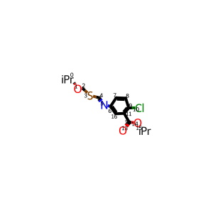 CC(C)OCSC=Nc1ccc(Cl)c(C(=O)OC(C)C)c1